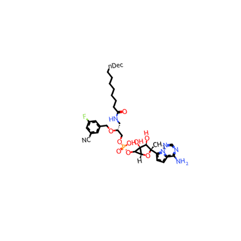 CCCCCCCCCCCCCCCCCC(=O)NC[C@H](COP(=O)(O)OC1[C@H]2O[C@@](C)(c3ccc4c(N)ncnn34)[C@H](O)[C@@]12O)OCc1cc(F)cc(C#N)c1